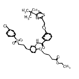 CCOC(=O)CCCOc1ccc(CCCS(=O)(=O)c2ccc(Cl)cc2)cc1NC(=O)c1cccc(OCc2nc(C(C)(C)C)cs2)c1